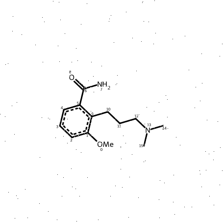 COc1cccc(C(N)=O)c1CCCN(C)C